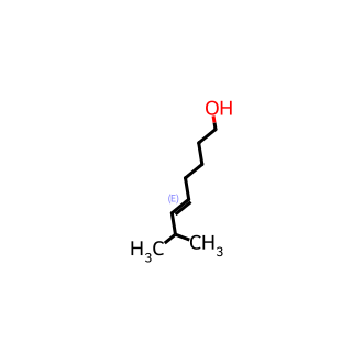 CC(C)/C=C/CCCCO